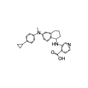 CN(c1ccc(C2CC2)cc1)c1ccc2c(c1)CCCC2Nc1cnccc1C(=O)O